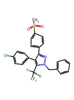 CS(=O)(=O)c1ccc(-c2nn(Cc3ccccc3)c(C(F)(F)C(F)(F)F)c2-c2ccc(Cl)cc2)cc1